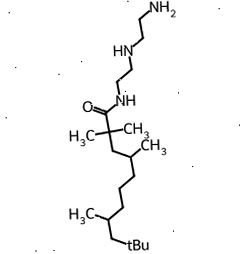 CC(CCCC(C)CC(C)(C)C(=O)NCCNCCN)CC(C)(C)C